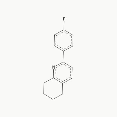 Fc1ccc(-c2ccc3c(n2)CCCC3)cc1